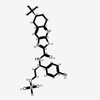 CC(C)(C)[C@H]1CCc2nc3sc(C(=O)N[C@H](CCOS(C)(=O)=O)c4ccc(Br)cc4)nc3cc2C1